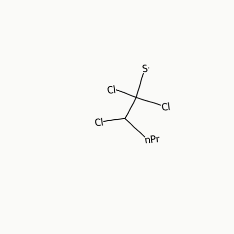 CCCC(Cl)C([S])(Cl)Cl